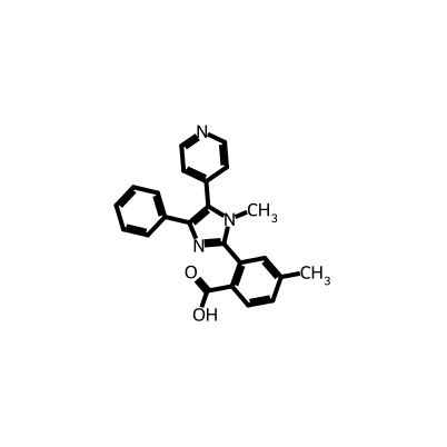 Cc1ccc(C(=O)O)c(-c2nc(-c3ccccc3)c(-c3ccncc3)n2C)c1